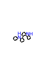 c1ccc(Nc2ccccc2-c2cccc3[nH]c4ccccc4c23)cc1